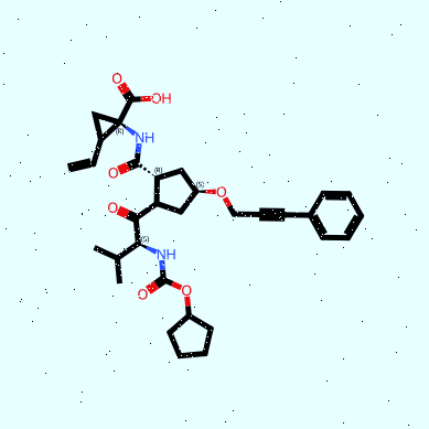 C=CC1C[C@]1(NC(=O)[C@@H]1C[C@@H](OCC#Cc2ccccc2)CC1C(=O)[C@@H](NC(=O)OC1CCCC1)C(C)C)C(=O)O